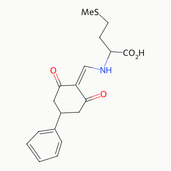 CSCCC(NC=C1C(=O)CC(c2ccccc2)CC1=O)C(=O)O